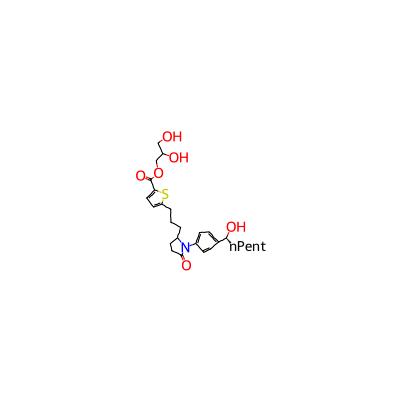 CCCCC[C@H](O)c1ccc(N2C(=O)CCC2CCCc2ccc(C(=O)OCC(O)CO)s2)cc1